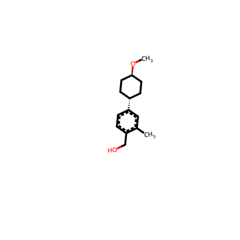 CO[C@H]1CC[C@H](c2ccc(CO)c(C)c2)CC1